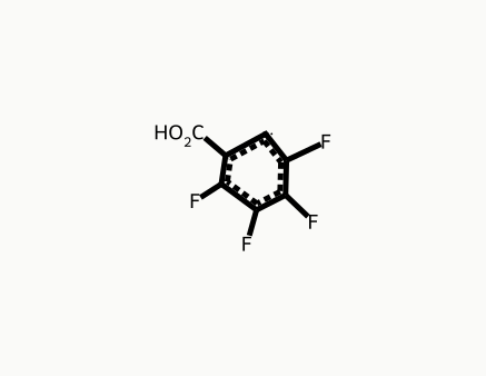 O=C(O)c1[c]c(F)c(F)c(F)c1F